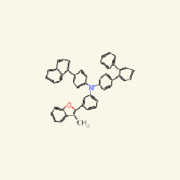 Cc1c(-c2cccc(N(c3ccc(-c4ccccc4-c4ccccc4)cc3)c3ccc(-c4cccc5ccccc45)cc3)c2)oc2ccccc12